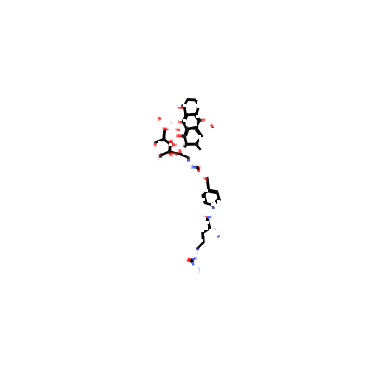 CNC(CCCNC(N)=O)C(=O)Nc1ccc(COC(=O)NCCOC2(OC3=c4c(O)c5c(c(OC)c4=CC(C)C3C)CCCC5=O)C(C(OC)OC)COC(O)C23CO3)cc1